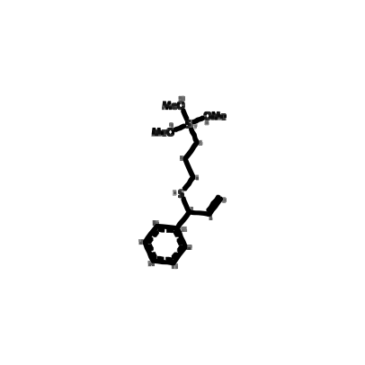 C=CC(SCCC[Si](OC)(OC)OC)c1ccccc1